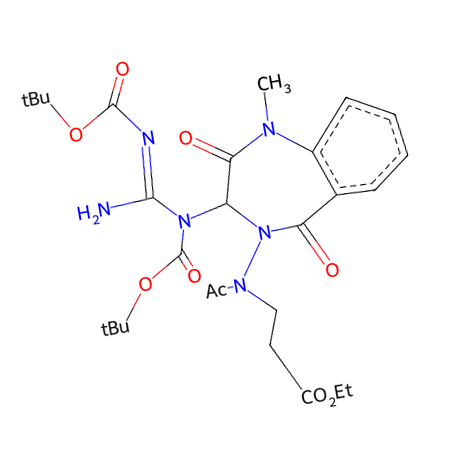 CCOC(=O)CCN(C(C)=O)N1C(=O)c2ccccc2N(C)C(=O)C1N(C(=O)OC(C)(C)C)C(N)=NC(=O)OC(C)(C)C